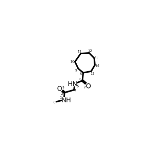 CNC(=O)CNC(=O)C1CCCCCCC1